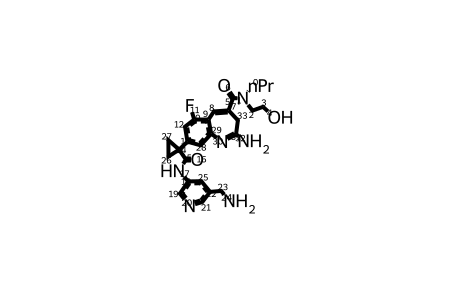 CCCN(CCO)C(=O)C1=Cc2c(F)cc(C3(C(=O)Nc4cncc(CN)c4)CC3)cc2N=C(N)C1